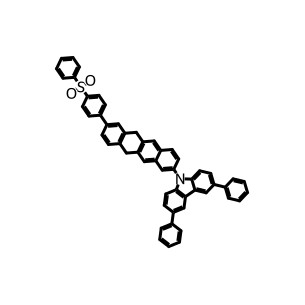 O=S(=O)(c1ccccc1)c1ccc(-c2ccc3c(c2)Cc2cc4ccc(-n5c6ccc(-c7ccccc7)cc6c6cc(-c7ccccc7)ccc65)cc4cc2C3)cc1